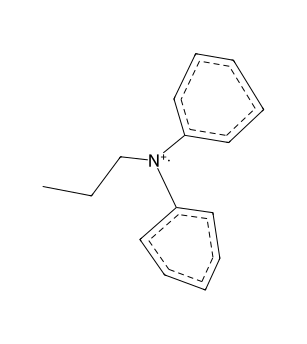 CCC[N+](c1ccccc1)c1ccccc1